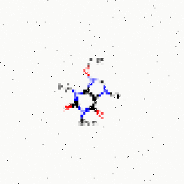 CCCCCn1c(=O)c2c(n(C)c1=O)N(OC=O)CN2C